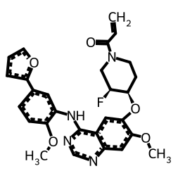 C=CC(=O)N1CC[C@@H](Oc2cc3c(Nc4cc(-c5ccco5)ccc4OC)ncnc3cc2OC)[C@@H](F)C1